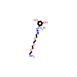 O=C(O)c1cc(O)cc(O)c1.[N-]=[N+]=NCCOCCOCCOCCN